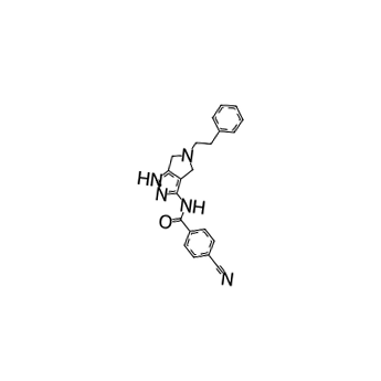 N#Cc1ccc(C(=O)Nc2n[nH]c3c2CN(CCc2ccccc2)C3)cc1